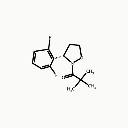 CC(C)(C)C(=O)N1OCC[C@H]1c1c(F)cccc1F